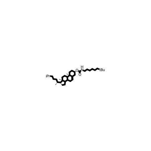 CC(C)CCC[C@@H](C)[C@H]1CCC2C3CC=C4C[C@@H](OC(=O)NCCCCCCC(C)(C)C)CC[C@]4(C)C3CC[C@@]21C